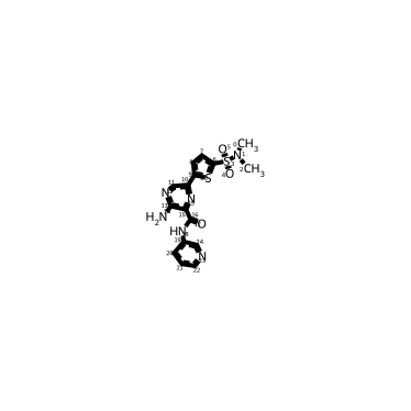 CN(C)S(=O)(=O)c1ccc(-c2cnc(N)c(C(=O)Nc3cccnc3)n2)s1